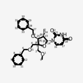 COC[C@]1(COCc2ccccc2)O[C@@H](n2ccc(=O)[nH]c2=O)[C@H](F)[C@@H]1OCc1ccccc1